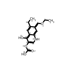 CCOC=c1cc2c(cc1CC)=C(O)C(OC(=O)O)=CN2